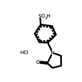 Cl.O=C1CCCN1c1ccc(S(=O)(=O)O)cc1